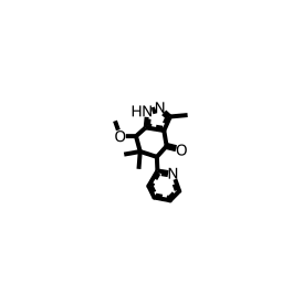 COC1c2[nH]nc(C)c2C(=O)C(c2ccccn2)C1(C)C